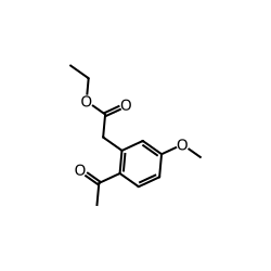 CCOC(=O)Cc1cc(OC)ccc1C(C)=O